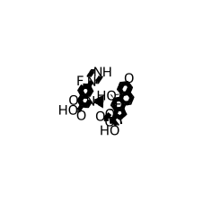 CC(=O)O[C@]1(C(=O)CO)[C@H](C)CC2C3CCC4=CC(=O)C=C[C@]4(C)[C@@]3(F)[C@@H](O)C[C@@]21C.O=C(O)c1cn(C2CC2)c2cc(N3CCNCC3)c(F)cc2c1=O